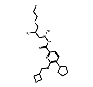 CC(COCCF)C[C@H](C)NC(=O)c1ccc(N2CCCC2)c(OCC2COC2)n1